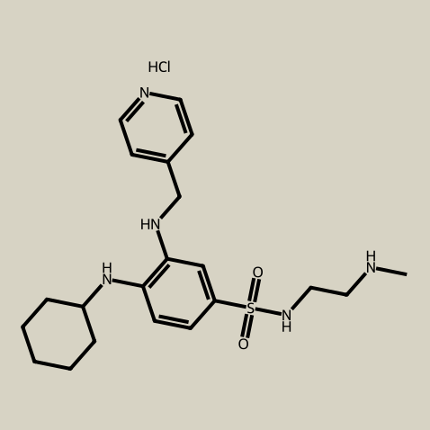 CNCCNS(=O)(=O)c1ccc(NC2CCCCC2)c(NCc2ccncc2)c1.Cl